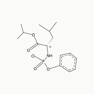 CC(C)C[C@H](NP(=O)(Cl)Oc1ccccc1)C(=O)OC(C)C